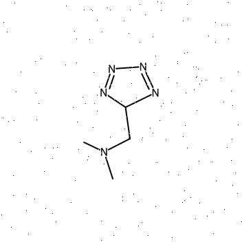 CN(C)CC1N=NN=N1